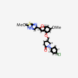 COc1cc(OCC2CCC(=O)N(c3ccc(Cl)cc3)C2)c2cc(-c3cn4nc(OC)sc4n3)oc2c1